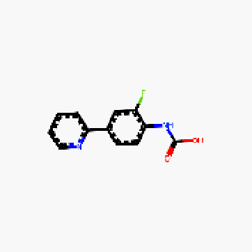 O=C(O)Nc1ccc(-c2ccccn2)cc1F